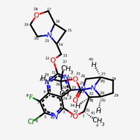 C[C@@H]1Oc2nc(Cl)c(F)c3nc(OCC4CC5COCCN54)nc(c23)N2C[C@H]3CC[C@@H]([C@@H]12)N3C(=O)OC(C)(C)C